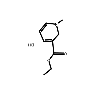 CCOC(=O)C1=CC=CN(C)C1.Cl